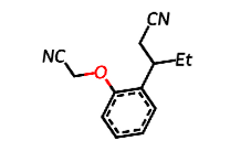 CCC(CC#N)c1ccccc1OCC#N